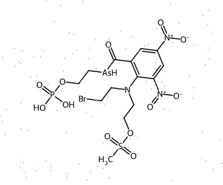 CS(=O)(=O)OCCN(CCBr)c1c(C(=O)[AsH]CCOP(=O)(O)O)cc([N+](=O)[O-])cc1[N+](=O)[O-]